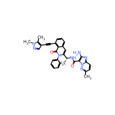 Cc1ccc2nc(N)c(C(=O)N[C@H](C)c3cc4cccc(C#Cc5cnn(C)c5C)c4c(=O)n3-c3ccccc3)n2n1